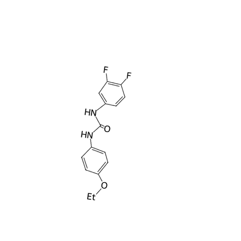 CCOc1ccc(NC(=O)Nc2ccc(F)c(F)c2)cc1